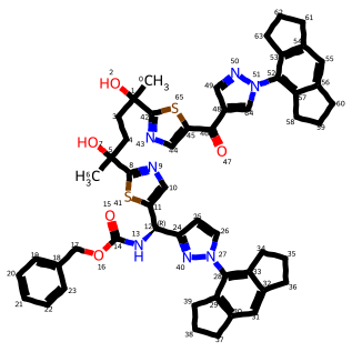 CC(O)(CCC(C)(O)c1ncc([C@H](NC(=O)OCc2ccccc2)c2ccn(-c3c4c(cc5c3CCC5)CCC4)n2)s1)c1ncc(C(=O)c2cnn(-c3c4c(cc5c3CCC5)CCC4)c2)s1